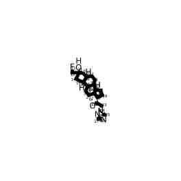 C[C@]12CC[C@H]3[C@@H](CC[C@@H]4C[C@@](O)(CF)CC[C@@H]43)[C@@H]1CC[C@@H]2C(=O)Cn1cncn1